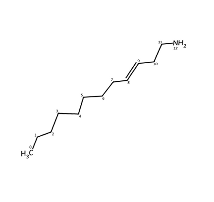 CCCCCCCCC=CCCN